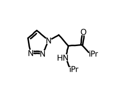 CC(C)NC(Cn1ccnn1)C(=O)C(C)C